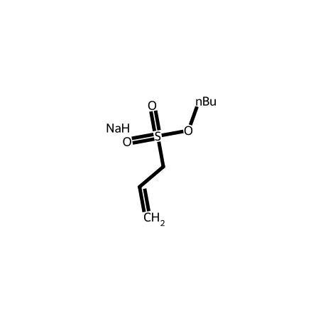 C=CCS(=O)(=O)OCCCC.[NaH]